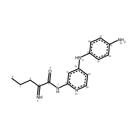 CCCC(=N)C(=O)Nc1cc(Nc2ccc(N)cc2)ccn1